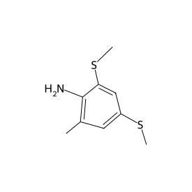 CSc1cc(C)c(N)c(SC)c1